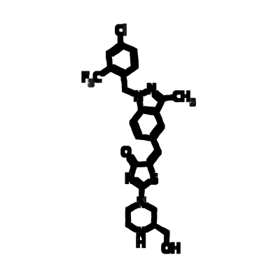 Cc1nn(Cc2ccc(Cl)cc2C(F)(F)F)c2ccc(C=C3SC(N4CCN[C@H](CO)C4)=NC3=O)cc12